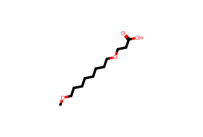 COCCCCCCCCOCCC(=O)O